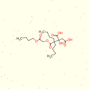 CCCCOC(=O)COC(=O)C(CCCC)(CCCC)C(O)(CC(=O)O)C(=O)O